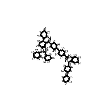 c1ccc(-c2ccc(-c3nc(-c4ccc(-c5ccc(-c6nc7ccccc7c7ccc8c(nc(-c9ccccc9)n8-c8ccccc8)c67)cc5)cc4)nc4ccccc34)cc2)cc1